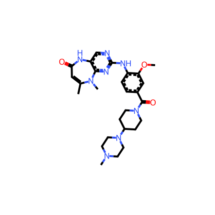 COc1cc(C(=O)N2CCC(N3CCN(C)CC3)CC2)ccc1Nc1ncc2c(n1)N(C)C(C)=CC(=O)N2